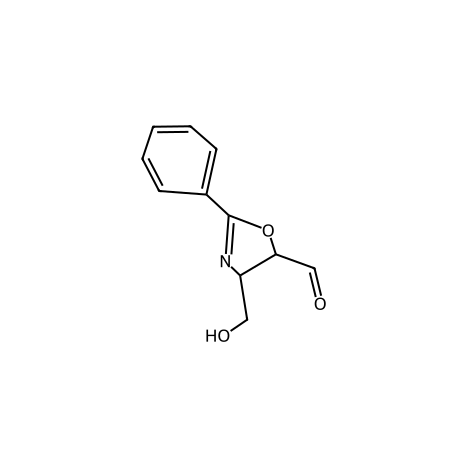 O=CC1OC(c2ccccc2)=NC1CO